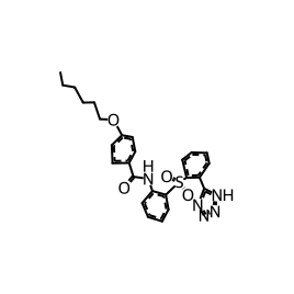 CCCCCCOc1ccc(C(=O)Nc2ccccc2S(=O)(=O)c2ccccc2-c2nnn[nH]2)cc1